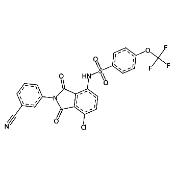 N#Cc1cccc(N2C(=O)c3c(Cl)ccc(NS(=O)(=O)c4ccc(OC(F)(F)F)cc4)c3C2=O)c1